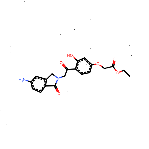 CCOC(=O)COc1ccc(C(=O)CN2Cc3cc(N)ccc3C2=O)c(O)c1